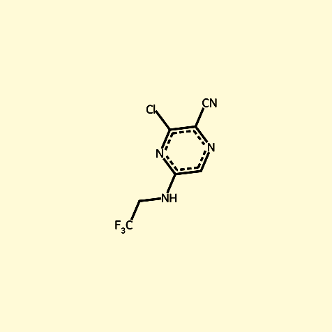 N#Cc1ncc(NCC(F)(F)F)nc1Cl